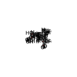 CC(C)(CCc1ccc(-c2ccc(Cl)c3c(N(C(=O)O[C@H](CNC(=O)OCOP(=O)(O)O)CC(=O)O)S(C)(=O)=O)nn(CC(F)(F)F)c23)c([C@H](Cc2cc(F)cc(F)c2)NC(=O)Cn2nc(C(F)(F)F)c3c2C(F)(F)[C@@H]2CC32)n1)S(C)(=O)=O